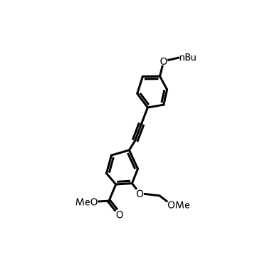 CCCCOc1ccc(C#Cc2ccc(C(=O)OC)c(OCOC)c2)cc1